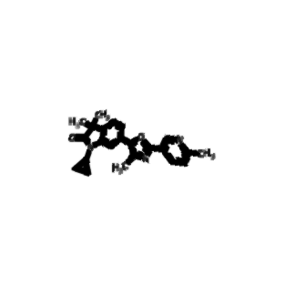 Cc1ccc(-c2nc(C)c(-c3ccc4c(c3)N(C3CC3)C(=O)C4(C)C)o2)cn1